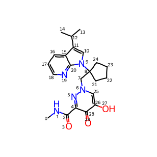 CNC(=O)c1nn(CC2(n3cc(C(C)C)c4cccnc43)CCCC2)cc(O)c1=O